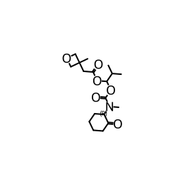 CC(C)C(OC(=O)CC1(C)COC1)OC(=O)N(C)[C@@H]1CCCCC1=O